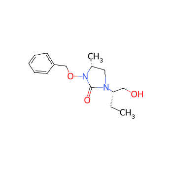 CC[C@@H](CO)N1C[C@@H](C)N(OCc2ccccc2)C1=O